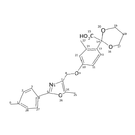 Cc1ccc(-c2nc(COc3ccc(C4(C(=O)O)OCCCO4)c(C)c3)c(C)o2)cc1